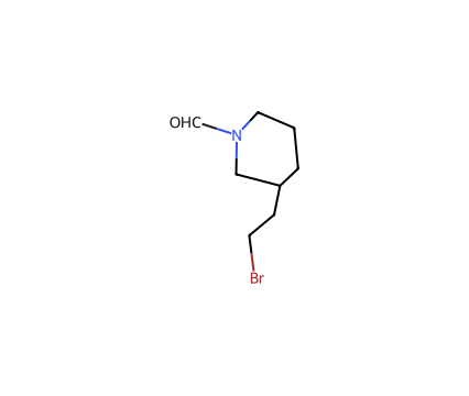 O=CN1CCCC(CCBr)C1